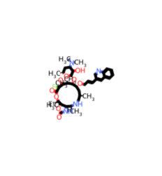 CC[C@H]1OC(=O)C(C)(F)C(=O)[C@H](C)[C@@H](O[C@@H]2O[C@H](C)CC(N(C)C)C2O)[C@H](OC/C=C/c2cnc3ccccc3c2)C[C@@H](C)CN[C@H](C)[C@H]2NC(=O)O[C@@]21C